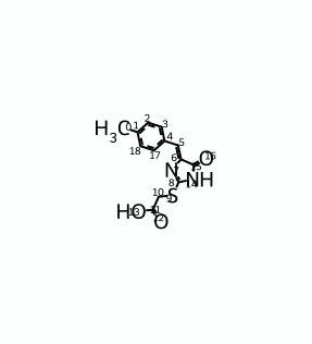 Cc1ccc(/C=C2\N=C(SCC(=O)O)NC2=O)cc1